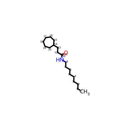 CCCCCCCCCNC(=O)CCC1CCCCCC1